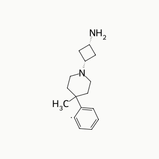 CC1(c2[c]cccc2)CCN([C@H]2C[C@@H](N)C2)CC1